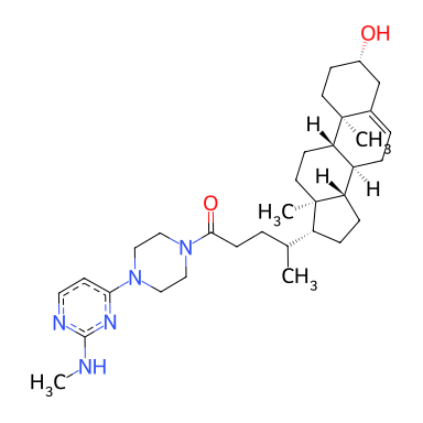 CNc1nccc(N2CCN(C(=O)CCC(C)[C@H]3CC[C@H]4[C@@H]5CC=C6C[C@@H](O)CC[C@]6(C)[C@H]5CC[C@]34C)CC2)n1